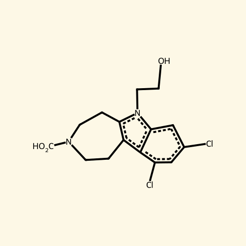 O=C(O)N1CCc2c(n(CCO)c3cc(Cl)cc(Cl)c23)CC1